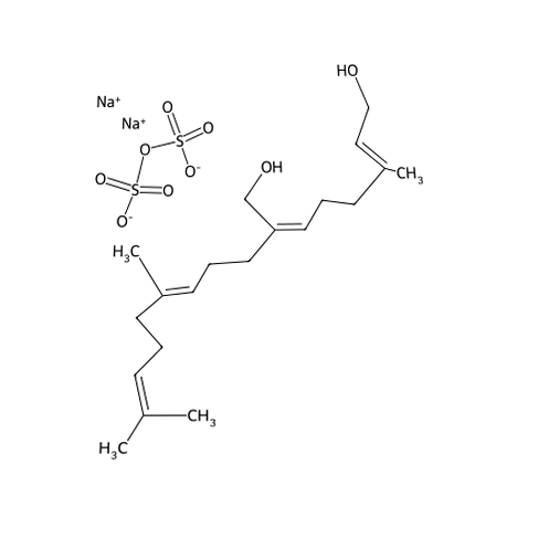 CC(C)=CCCC(C)=CCCC(=CCCC(C)=CCO)CO.O=S(=O)([O-])OS(=O)(=O)[O-].[Na+].[Na+]